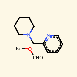 CC(C)(C)OC=O.c1ccc(CN2CCCCC2)nc1